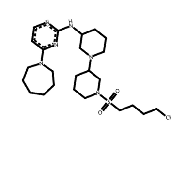 CCCCCS(=O)(=O)N1CCCC(N2CCCC(Nc3nccc(N4CCCCCC4)n3)C2)C1